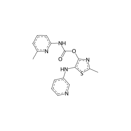 Cc1cccc(NC(=O)Oc2nc(C)sc2Nc2cccnc2)n1